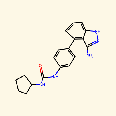 Nc1n[nH]c2cccc(-c3ccc(NC(=O)NC4CCCC4)cc3)c12